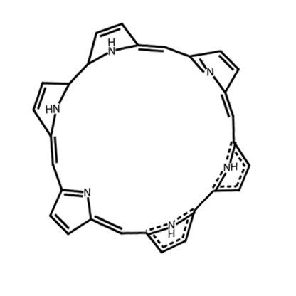 C1=C/C2=C/c3ccc([nH]3)-c3ccc([nH]3)/C=C3/C=CC(=N3)/C=C3/C=CC(N3)C3C=C/C(=C/C1=N2)N3